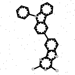 Clc1nc(Cl)c2oc3ccc(-c4ccc5c(c4)c4ccccc4n5-c4ccccc4)cc3c2n1